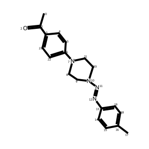 CC(=O)c1ccc(N2CCN(N=Nc3ccc(C)cc3)CC2)cc1